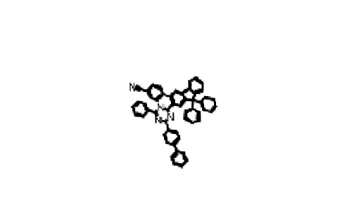 N#Cc1ccc(-c2cc3c(cc2-c2nc(-c4ccccc4)nc(-c4ccc(-c5ccccc5)cc4)n2)C(c2ccccc2)(c2ccccc2)c2ccccc2-3)cc1